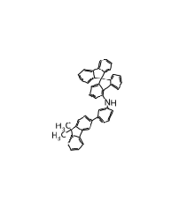 CC1(C)c2ccccc2-c2cc(-c3cccc(Nc4cccc5c4-c4ccccc4C54c5ccccc5-c5ccccc54)c3)ccc21